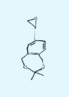 CC1(C)OCc2cc([C@@H]3CO3)ccc2O1